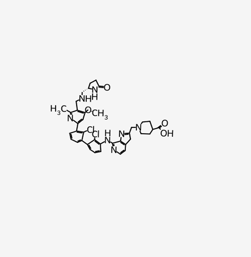 COc1cc(-c2cccc(-c3cccc(Nc4nccc5c4N=C(CN4CCC(C(=O)O)CC4)C5)c3Cl)c2Cl)nc(C)c1CNC[C@@H]1CCC(=O)N1